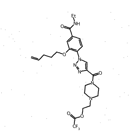 C=CCCCOc1cc(C(=O)NCC)ccc1-n1cc(C(=O)N2CCN(CCOC(=O)C(F)(F)F)CC2)nn1